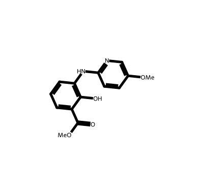 COC(=O)c1cccc(Nc2ccc(OC)cn2)c1O